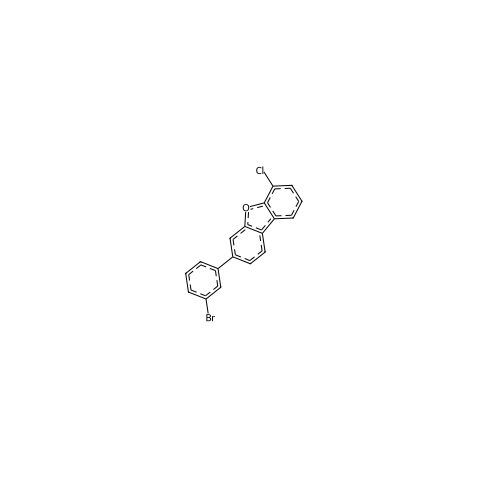 Clc1cccc2c1oc1cc(-c3cccc(Br)c3)ccc12